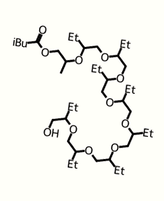 CCC(CO)OCC(CC)OCC(CC)OCC(CC)OCC(CC)OCC(CC)OCC(CC)OCC(CC)OC(C)COC(=O)C(C)CC